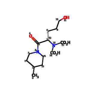 CC1CCN(C(=O)[C@H](CCCO)N(C(=O)O)C(=O)O)CC1